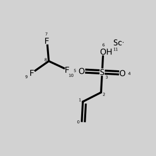 C=CCS(=O)(=O)O.FC(F)F.[Sc]